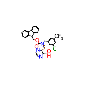 O=C(OCC1c2ccccc2-c2ccccc21)N(Cc1cc(Cl)cc(C(F)(F)F)c1)Sc1nccnc1CO